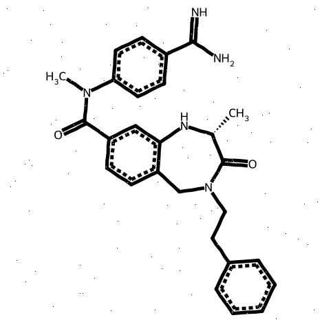 C[C@H]1Nc2cc(C(=O)N(C)c3ccc(C(=N)N)cc3)ccc2CN(CCc2ccccc2)C1=O